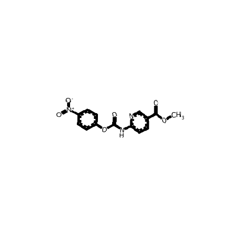 COC(=O)c1ccc(NC(=O)Oc2ccc([N+](=O)[O-])cc2)nc1